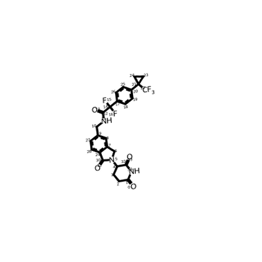 O=C1CCC(N2Cc3cc(CNC(=O)C(F)(F)c4ccc(C5(C(F)(F)F)CC5)cc4)ccc3C2=O)C(=O)N1